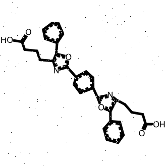 O=C(O)CCCc1nc(-c2ccc(-c3nc(CCCC(=O)O)c(-c4ccccc4)o3)cc2)oc1-c1ccccc1